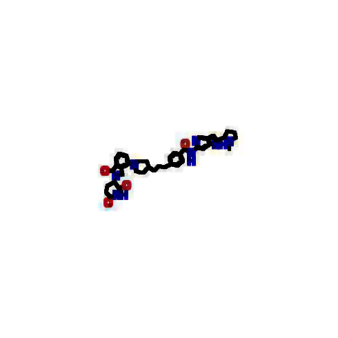 CN1CCC[C@@H]1c1cc2cnc(NC(=O)c3ccc(CCCC4CCN(c5cccc6c5CN(C5CCC(=O)NC5=O)C6=O)CC4)cc3)cc2[nH]1